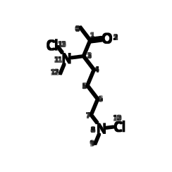 CC(=O)C(CCCCN(C)Cl)N(C)Cl